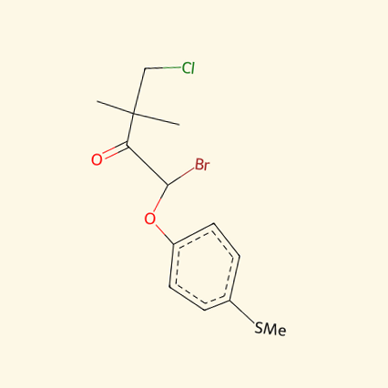 CSc1ccc(OC(Br)C(=O)C(C)(C)CCl)cc1